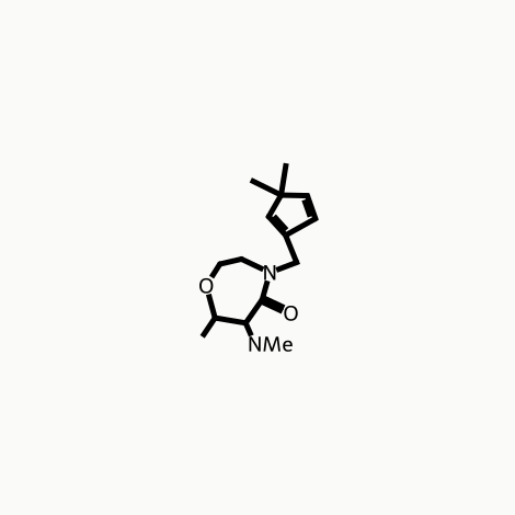 CNC1C(=O)N(CC2=CC(C)(C)C=C2)CCOC1C